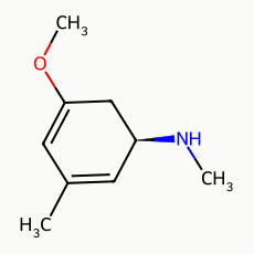 CN[C@H]1C=C(C)C=C(OC)C1